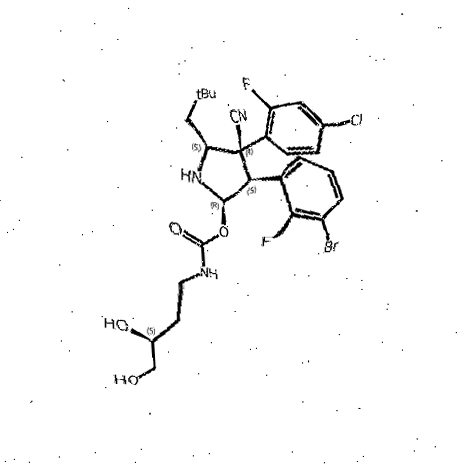 CC(C)(C)C[C@@H]1N[C@H](OC(=O)NCC[C@H](O)CO)[C@H](c2cccc(Br)c2F)[C@@]1(C#N)c1ccc(Cl)cc1F